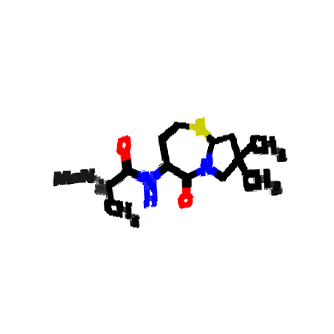 CN[C@@H](C)C(=O)NC1CCSC2CC(C)(C)CN2C1=O